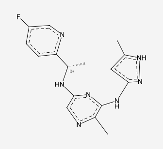 Cc1cc(Nc2nc(N[C@@H](C)c3ccc(F)cn3)cnc2C)n[nH]1